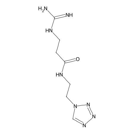 N=C(N)NCCC(=O)NCCn1cnnn1